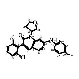 O=c1c(-c2c(Cl)cccc2Cl)cc2cnc(Nc3ccc(F)cn3)cc2n1[C@H]1CCOC1